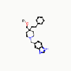 CCOCC1(CCc2ccccc2)CCN(Cc2ccc3[nH]cnc3c2)CC1